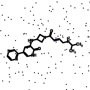 CC(C)NC/C=C/C(=O)N1CC(Nc2cc(-c3cnccn3)c[nH]c2=O)C1